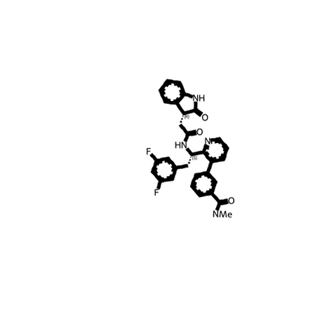 CNC(=O)c1cccc(-c2cccnc2[C@H](Cc2cc(F)cc(F)c2)NC(=O)C[C@H]2C(=O)Nc3ccccc32)c1